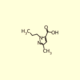 CCCn1nc(C)cc1C(=O)O